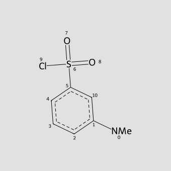 CNc1cccc(S(=O)(=O)Cl)c1